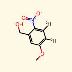 [2H]c1c(OC)cc(CO)c([N+](=O)[O-])c1[2H]